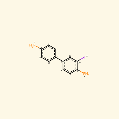 Pc1ccc(-c2ccc(P)c(I)c2)cc1